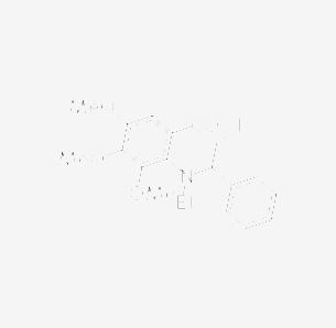 CCN(c1c(C(=O)O)cc(OC)c(OC)c1OC)C(C)c1ccccc1